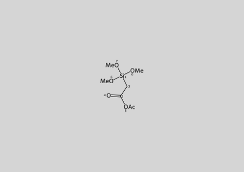 CO[Si](CC(=O)OC(C)=O)(OC)OC